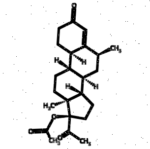 CC(=O)O[C@]1(C(C)=O)CC[C@H]2[C@@H]3C[C@H](C)C4=CC(=O)CC[C@@H]4[C@H]3CC[C@@]21C